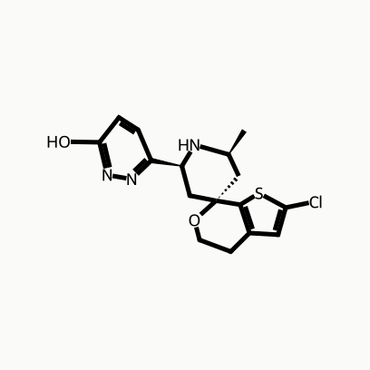 C[C@H]1C[C@@]2(C[C@@H](c3ccc(O)nn3)N1)OCCc1cc(Cl)sc12